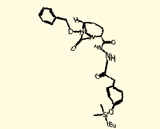 CC(C)(C)[Si](C)(C)Oc1ccc(CC(=O)NNC(=O)[C@@H]2CC[C@@H]3CN2C(=O)N3OCc2ccccc2)cc1